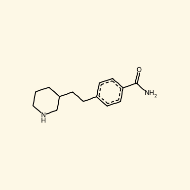 NC(=O)c1ccc(CCC2CCCNC2)cc1